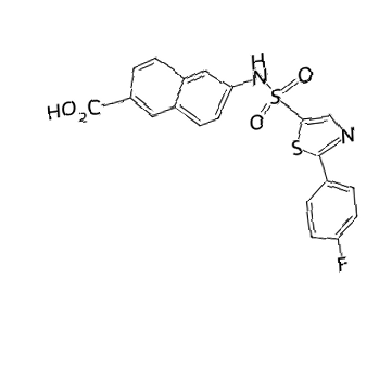 O=C(O)c1ccc2cc(NS(=O)(=O)c3cnc(-c4ccc(F)cc4)s3)ccc2c1